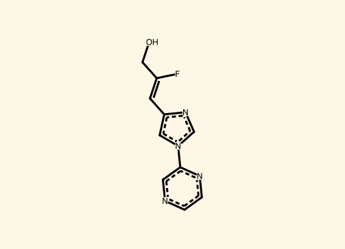 OCC(F)=Cc1cn(-c2cnccn2)cn1